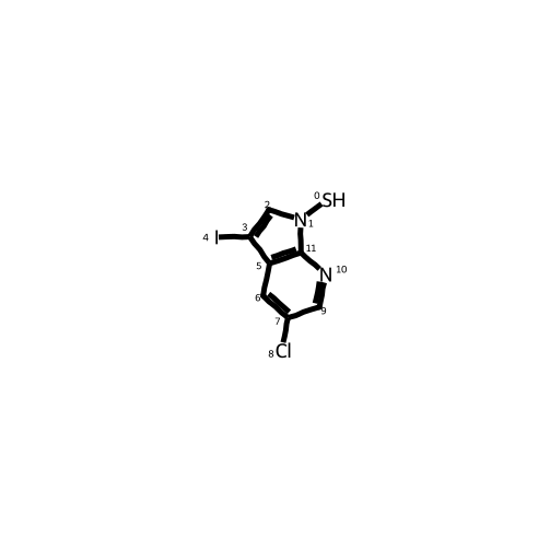 Sn1cc(I)c2cc(Cl)cnc21